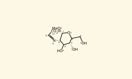 CO[C@@H]1OC(CO)[C@H](O)C(O)[C@@H]1/N=C\C(=O)O